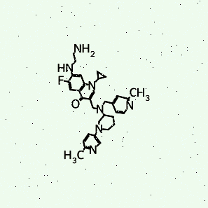 Cc1ccc(N2CCC[C@H](N(Cc3ccnc(C)c3)Cc3cn(C4CC4)c4cc(NCCN)c(F)cc4c3=O)C2)cn1